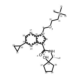 C[C@@H](NC(=O)c1cn(COCC[Si](C)(C)C)c2ncc(C3CC3)nc12)C1(O)CCCC1